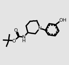 CC(C)(C)OC(=O)NC1CCCN(c2cccc(O)c2)C1